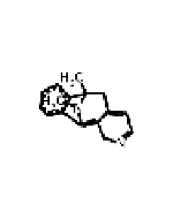 CN1C2=C3CN=CC=C3CC1(C)c1ccccc12